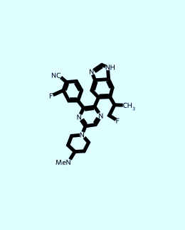 CNC1CCN(c2cnc(-c3cc4nc[nH]c4cc3C(C)CF)c(-c3ccc(C#N)c(F)c3)n2)CC1